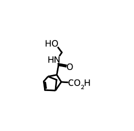 O=C(O)C1C2C=CC(C2)C1C(=O)NCO